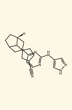 N#CC1CCC(N2C3CC[C@@H]2CN(c2ccnc(Nc4cn[nH]c4)n2)C3)C1